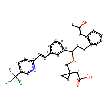 CC(O)Cc1ccccc1CCC(SCC1(CC(=O)O)CC1)c1cccc(C=Cc2ccc(C(F)(F)F)cn2)c1